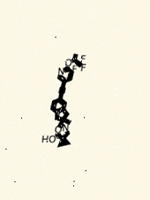 CC(Oc1ccc(C#Cc2ccc3c(c2)CC2(C3)CN(CC3(C(=O)O)CC3)C2)cn1)C(F)(F)F